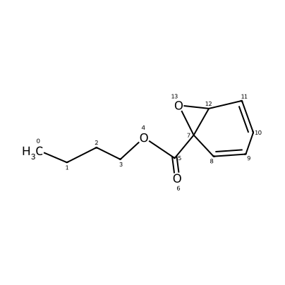 CCCCOC(=O)C12C=CC=CC1O2